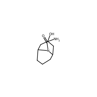 NC(=O)N1C2CCCC1CC(O)C2